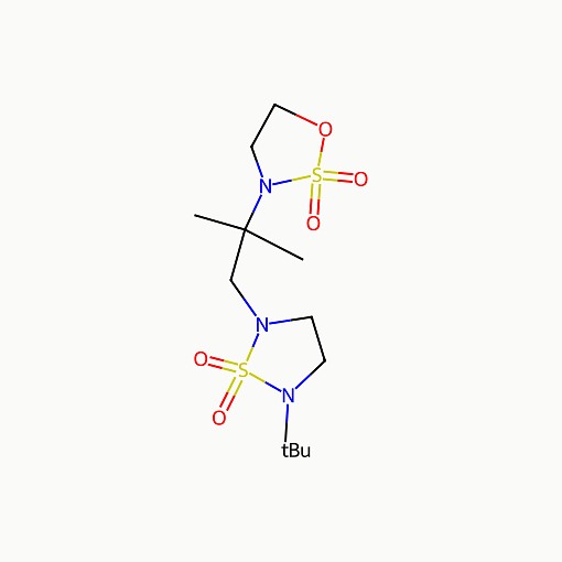 CC(C)(C)N1CCN(CC(C)(C)N2CCOS2(=O)=O)S1(=O)=O